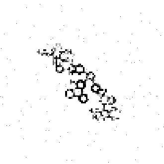 COC(=O)N[C@H](C(=O)N1CCC[C@H]1c1nc2cc([C@H]3CC[C@H](c4ccc5[nH]c([C@@H]6CCCN6C(=O)[C@H](C(C)C)N(C)C(=O)O)nc5c4)N3c3cc(F)c(N4CCCCC4c4ccccc4)c(F)c3)ccc2[nH]1)C(C)C